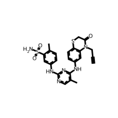 C#CCN1C(=O)CSc2ccc(Nc3nc(Nc4ccc(C)c(S(N)(=O)=O)c4)ncc3C)cc21